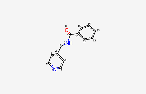 O=C(NCc1ccncc1)c1cc[c]cc1